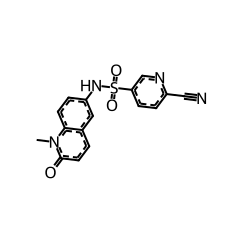 Cn1c(=O)ccc2cc(NS(=O)(=O)c3ccc(C#N)nc3)ccc21